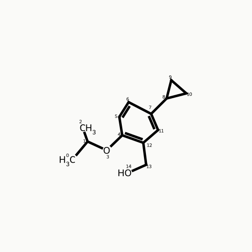 CC(C)Oc1ccc(C2CC2)cc1CO